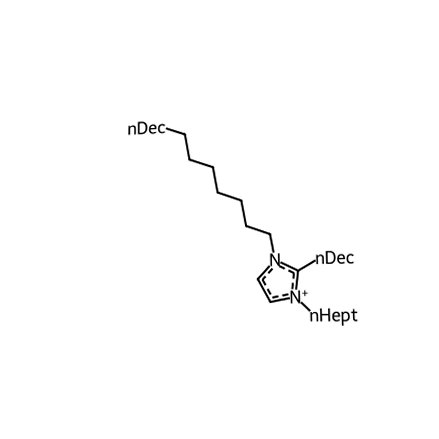 CCCCCCCCCCCCCCCCCn1cc[n+](CCCCCCC)c1CCCCCCCCCC